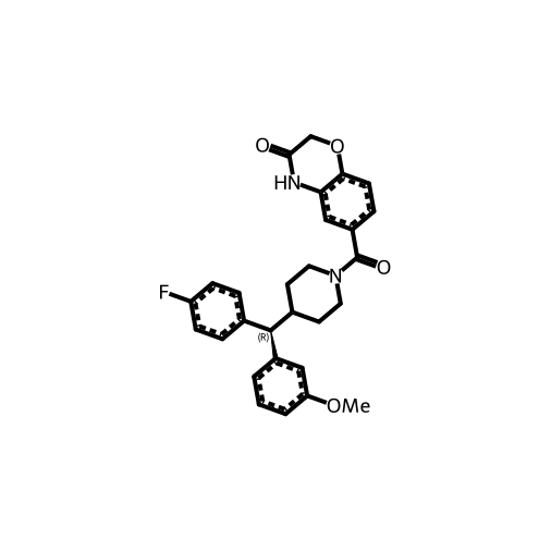 COc1cccc([C@@H](c2ccc(F)cc2)C2CCN(C(=O)c3ccc4c(c3)NC(=O)CO4)CC2)c1